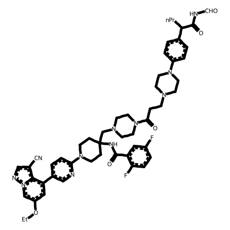 CCCC(C(=O)NC=O)c1ccc(N2CCN(CCC(=O)N3CCN(CC4(NC(=O)c5cc(F)ccc5F)CCN(c5ccc(-c6cc(OCC)cn7ncc(C#N)c67)cn5)CC4)CC3)CC2)cc1